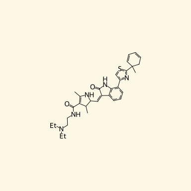 CCN(CC)CCNC(=O)C1=C(C)NC(/C=C2\C(=O)Nc3c2cccc3-c2csc(C3(C)C=CC=CC3)n2)C1C